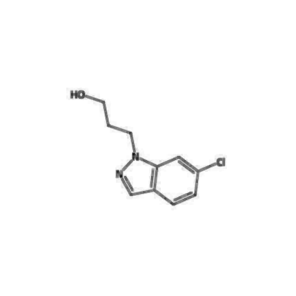 OCCCn1ncc2ccc(Cl)cc21